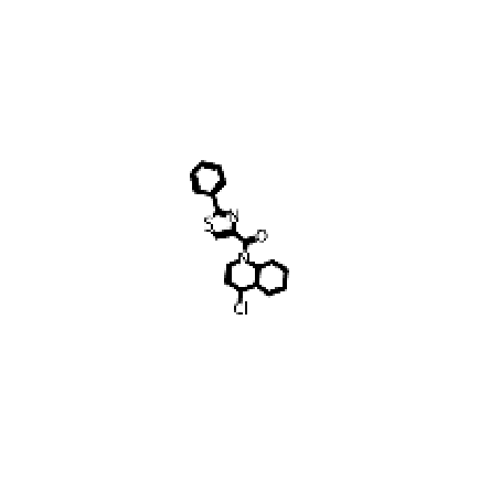 O=C(c1csc(-c2ccccc2)n1)N1CCC(Cl)C2CCCCC21